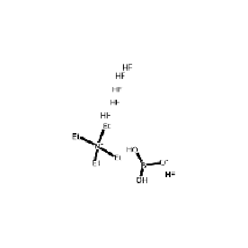 CC[N+](CC)(CC)CC.F.F.F.F.F.F.[O-]B(O)O